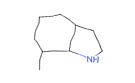 CC1CCCC2CCNC12